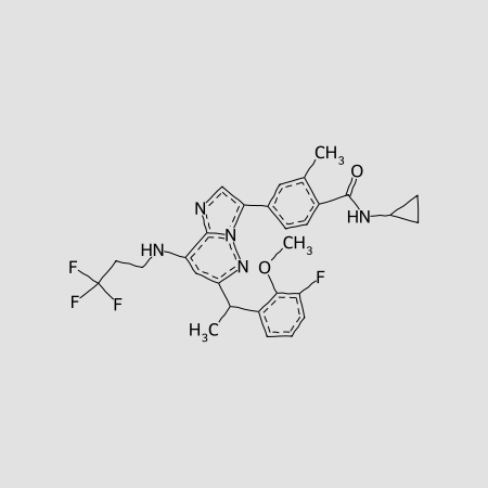 COc1c(F)cccc1C(C)c1cc(NCCC(F)(F)F)c2ncc(-c3ccc(C(=O)NC4CC4)c(C)c3)n2n1